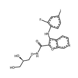 O=C(NOC[C@H](O)CO)c1oc2cnccc2c1Nc1ccc(I)cc1F